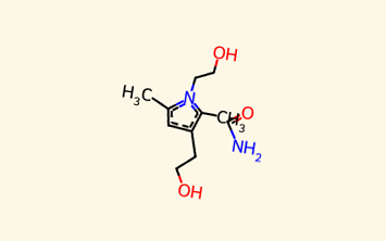 Cc1cc(CCO)c(C)n1CCO.NC=O